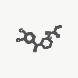 C=CC(=O)N[C@H]1CCCN(C(=O)c2ccc(Cl)c(Cl)c2)C1